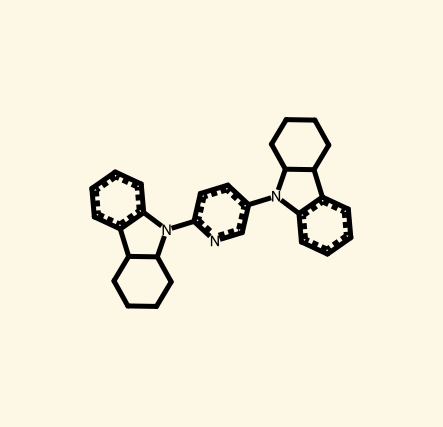 c1ccc2c(c1)C1CCCCC1N2c1ccc(N2c3ccccc3C3CCCCC32)nc1